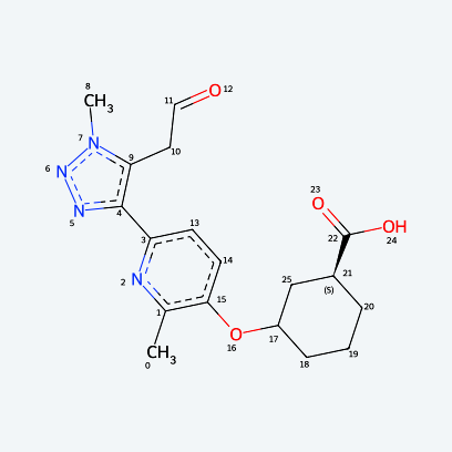 Cc1nc(-c2nnn(C)c2CC=O)ccc1OC1CCC[C@H](C(=O)O)C1